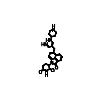 N=C/C(=C\NC1CCNCC1)Cc1ccc2c3c(cccc13)C(=O)N2C1CCC(=O)NC1=O